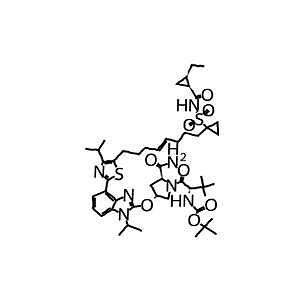 CC[C@@H]1C[C@@H]1C(=O)NS(=O)(=O)C1(CCC/C=C/CCCc2sc(-c3cccc4c3nc(O[C@@H]3C[C@@H](C(N)=O)N(C(=O)[C@@H](NC(=O)OC(C)(C)C)C(C)(C)C)C3)n4C(C)C)nc2C(C)C)CC1